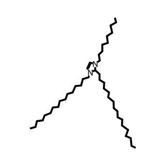 CCCCCCCCCCCCCCCCCC1N(CCCCCCCCCC)C=CN1CCCCCCCCCCCCCCCC